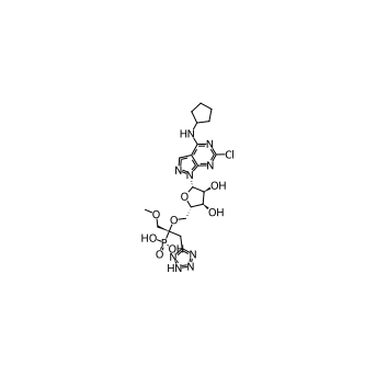 COC[C@](Cc1nn[nH]n1)(OC[C@@H]1O[C@H](n2ncc3c(NC4CCCC4)nc(Cl)nc32)[C@@H](O)[C@H]1O)P(=O)(O)O